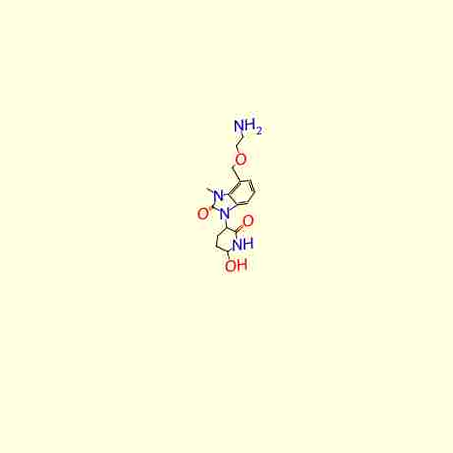 Cn1c(=O)n(C2CCC(O)NC2=O)c2cccc(COCCN)c21